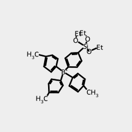 CCO[Si](OCC)(OCC)c1ccc([B-](c2ccc(C)cc2)(c2ccc(C)cc2)c2ccc(C)cc2)cc1